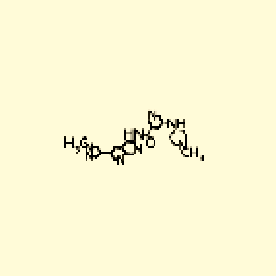 CN1CCC(Nc2cncc(C(=O)Nc3cc4cc(-c5cnn(C)c5)cnc4cn3)c2)CC1